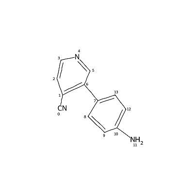 N#Cc1ccncc1-c1ccc(N)cc1